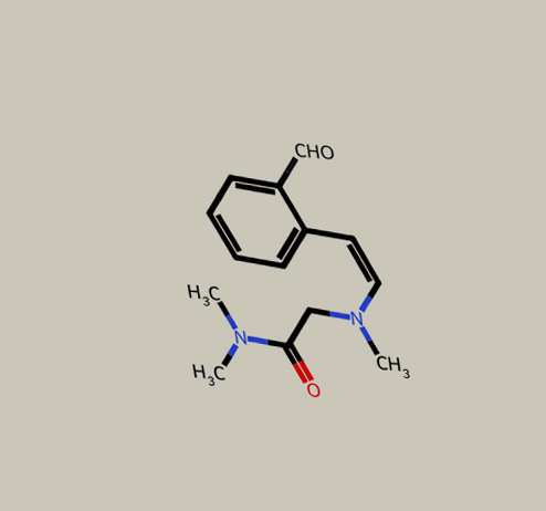 CN(/C=C\c1ccccc1C=O)CC(=O)N(C)C